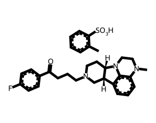 CN1CCN2c3c(cccc31)[C@@H]1CN(CCCC(=O)c3ccc(F)cc3)CC[C@@H]12.Cc1ccccc1S(=O)(=O)O